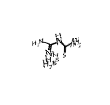 N=C(N)NC(N)=S.S.S